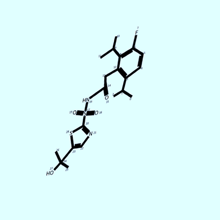 CC(C)c1ccc(F)c(C(C)C)c1CC(=O)NS(=O)(=O)c1ncc(C(C)(C)O)s1